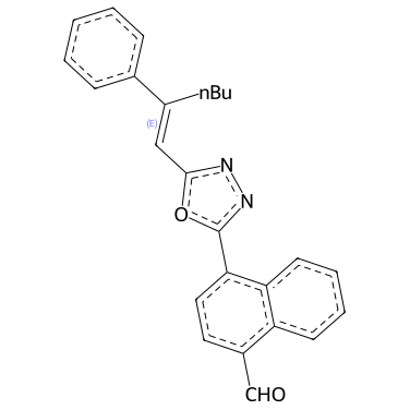 CCCC/C(=C\c1nnc(-c2ccc(C=O)c3ccccc23)o1)c1ccccc1